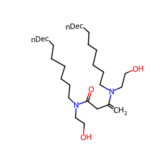 C=C(CC(=O)N(CCO)CCCCCCCCCCCCCCCC)N(CCO)CCCCCCCCCCCCCCCC